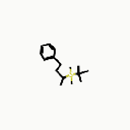 CC(CCc1ccccc1)S(C)(C)C(C)(C)C